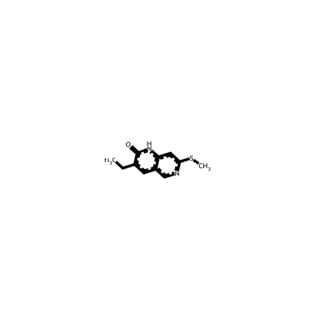 CCc1cc2cnc(SC)cc2[nH]c1=O